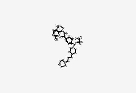 CC(C)CN(NC(=O)c1ccc(CN2CCN(CCCN3CCOCC3)CC2)cc1)c1nc(C#N)ncc1Cl.O=C(O)C(F)(F)F